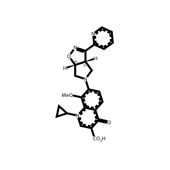 COc1c(N2C[C@@H]3ON=C(c4ccccn4)[C@@H]3C2)ccc2c(=O)c(C(=O)O)cn(C3CC3)c12